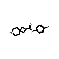 O=C(Nc1ccc(Cl)cc1)C1CC2(CCNCC2)C1